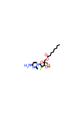 C=C1N=C(N)C=CN1[C@@H]1O[C@](CCl)(COC(=O)CCCCCCC)[C@@H](O)[C@H]1F